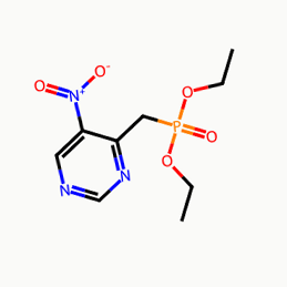 CCOP(=O)(Cc1ncncc1[N+](=O)[O-])OCC